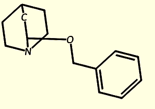 c1ccc(COC2CC3CCN2CC3)cc1